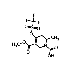 COC(=O)C1=C(OS(=O)(=O)C(F)(F)F)CC(C)N(C(=O)O)C1